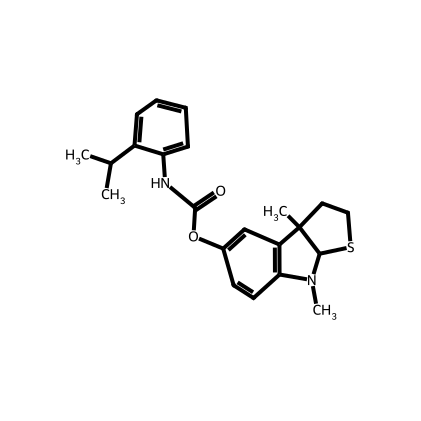 CC(C)c1ccccc1NC(=O)Oc1ccc2c(c1)C1(C)CCSC1N2C